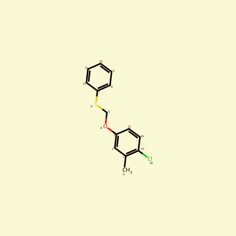 Cc1cc(OCSc2ccccc2)ccc1Cl